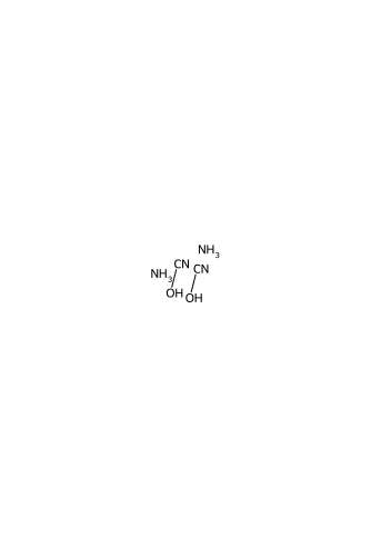 N.N.N#CO.N#CO